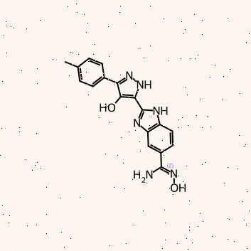 Cc1ccc(-c2n[nH]c(-c3nc4cc(/C(N)=N/O)ccc4[nH]3)c2O)cc1